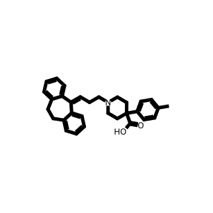 Cc1ccc(C2(C(=O)O)CCN(CCC=C3c4ccccc4CCc4ccccc43)CC2)cc1